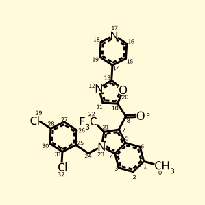 Cc1ccc2c(c1)c(C(=O)c1cnc(-c3ccncc3)o1)c(C(F)(F)F)n2Cc1ccc(Cl)cc1Cl